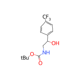 CC(C)(C)OC(=O)NCC(O)c1ccc(C(F)(F)F)cc1